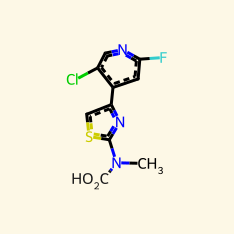 CN(C(=O)O)c1nc(-c2cc(F)ncc2Cl)cs1